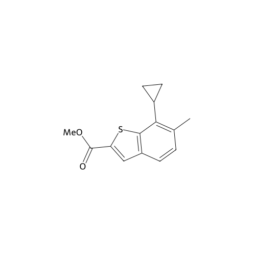 COC(=O)c1cc2ccc(C)c(C3CC3)c2s1